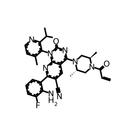 C=CC(=O)N1C[C@H](C)N(c2nc(=O)n(-c3c(C)ccnc3C(C)C)c3nc(-c4cccc(F)c4N)c(C#N)cc23)C[C@H]1C